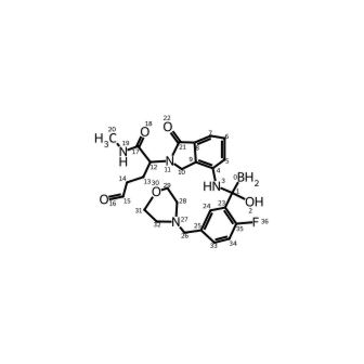 BC(O)(Nc1cccc2c1CN(C(CCC=O)C(=O)NC)C2=O)c1cc(CN2CCOCC2)ccc1F